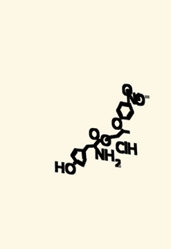 CC(CCOC(=O)C(N)Cc1ccc(O)cc1)Oc1ccc([N+](=O)[O-])cc1.Cl